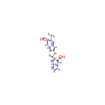 CC(C)c1nn2cc(CC(C)c3nc4nccn4cc3O)cc2cc1O